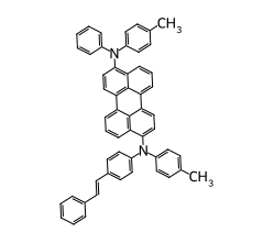 Cc1ccc(N(c2ccccc2)c2ccc3c4cccc5c(N(c6ccc(C)cc6)c6ccc(/C=C/c7ccccc7)cc6)ccc(c6cccc2c63)c54)cc1